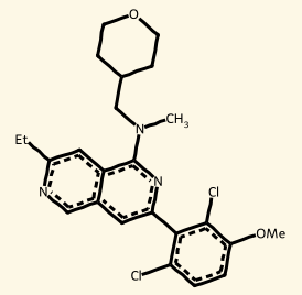 CCc1cc2c(N(C)CC3CCOCC3)nc(-c3c(Cl)ccc(OC)c3Cl)cc2cn1